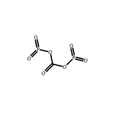 O=C(OP(=O)=O)OP(=O)=O